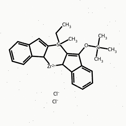 CC[Si]1(C)C2=Cc3ccccc3[CH]2[Zr+2][CH]2C1=C(O[Si](C)(C)C)c1ccccc12.[Cl-].[Cl-]